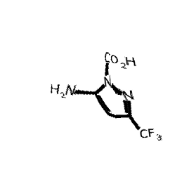 Nc1cc(C(F)(F)F)nn1C(=O)O